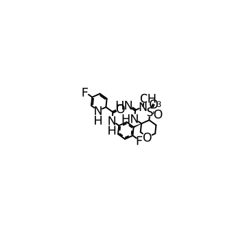 CN1C(=N)N[C@@]2(c3cc(NC(=O)C4C=CC(F)=CN4)ccc3F)COCCC2S1(=O)=O